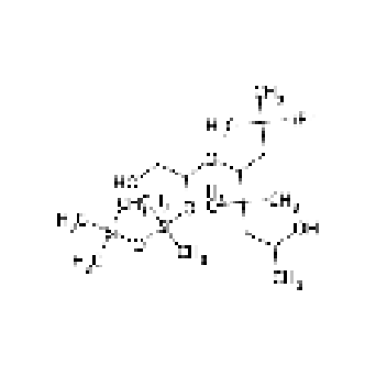 CCCC(C)(C)CC(OC(CO)O[Si](C)(C)O[Si](C)(C)C)C(C)(C)CC(C)O